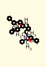 CCC(C)/C(=N\C(=C(\C)C(C)Cc1cccc2c1-c1cc(-c3ccc4c(oc5ccccc54)c3-n3c4ccccc4c4cc(-c5ccccc5)ccc43)ccc1NC2)c1ccc(-c2ccccc2)cc1)C1C=CC=CC1